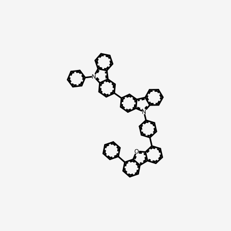 c1ccc(-c2cccc3c2oc2c(-c4ccc(-n5c6ccccc6c6cc(-c7ccc8c(c7)c7ccccc7n8-c7ccccc7)ccc65)cc4)cccc23)cc1